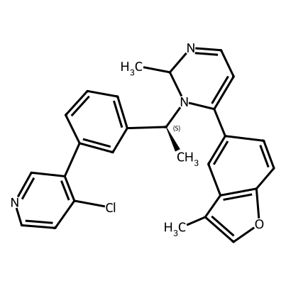 Cc1coc2ccc(C3=CC=NC(C)N3[C@@H](C)c3cccc(-c4cnccc4Cl)c3)cc12